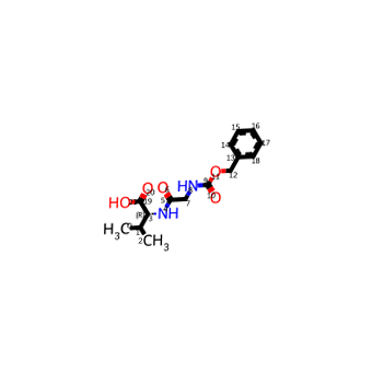 CC(C)[C@@H](NC(=O)CNC(=O)OCc1ccccc1)C(=O)O